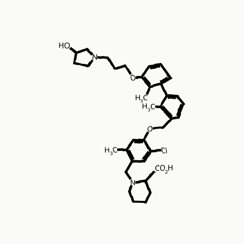 Cc1cc(OCc2cccc(-c3cccc(OCCCN4CCC(O)C4)c3C)c2C)c(Cl)cc1CN1CCCCC1C(=O)O